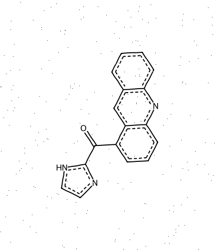 O=C(c1ncc[nH]1)c1cccc2nc3ccccc3cc12